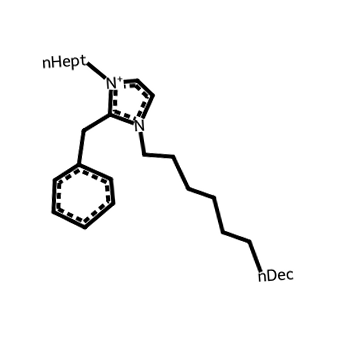 CCCCCCCCCCCCCCCCn1cc[n+](CCCCCCC)c1Cc1ccccc1